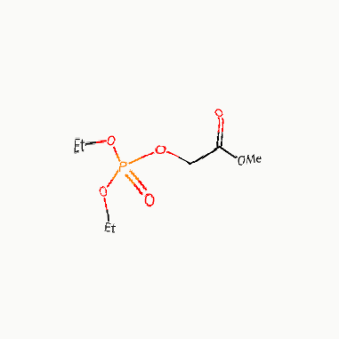 CCOP(=O)(OCC)OCC(=O)OC